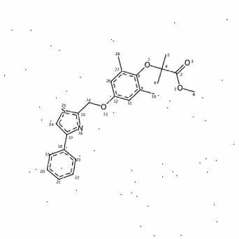 COC(=O)C(C)(C)Oc1c(C)cc(OCc2nc(-c3ccccc3)cs2)cc1C